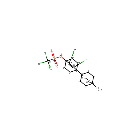 CC12CCC(C34CCC(OS(=O)(=O)C(F)(F)F)(CC3)C(F)=C4F)(CC1)CC2